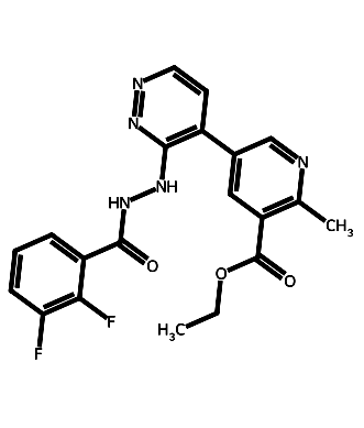 CCOC(=O)c1cc(-c2ccnnc2NNC(=O)c2cccc(F)c2F)cnc1C